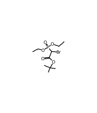 CCOP(=O)(OCC)C(Br)C(=O)OC(C)(C)C